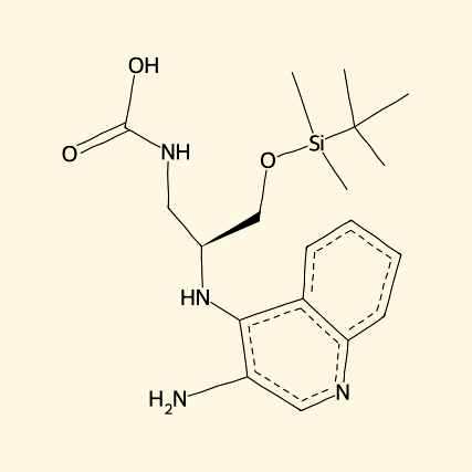 CC(C)(C)[Si](C)(C)OC[C@H](CNC(=O)O)Nc1c(N)cnc2ccccc12